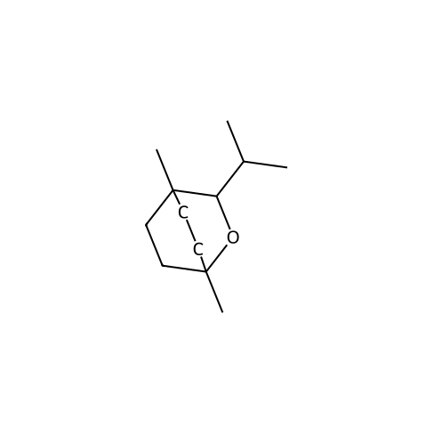 CC(C)C1OC2(C)CCC1(C)CC2